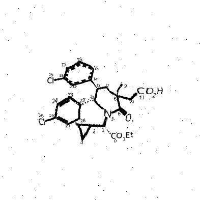 CCOC(=O)[C@H](C1CC1)N1C(=O)[C@@](C)(CC(=O)O)C[C@H](c2cccc(Cl)c2)[C@H]1C1C=CC(Cl)=CC1